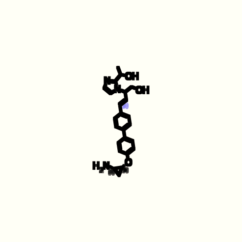 CC(O)c1nccn1C(/C=C/c1ccc(-c2ccc(O[C@@H]3C[C@H]3N)cc2)cc1)CO